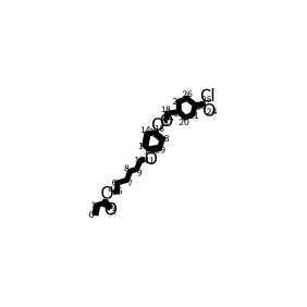 C=CC(=O)OCCCCCCOc1ccc(OOCC2CCC(C(=O)Cl)CC2)cc1